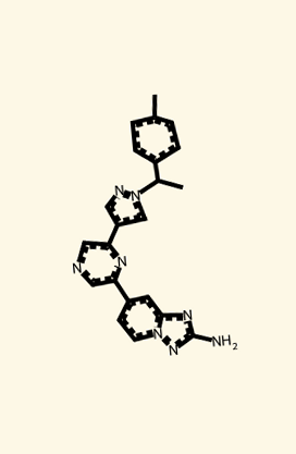 Cc1ccc(C(C)n2cc(-c3cncc(-c4ccn5nc(N)nc5c4)n3)cn2)cc1